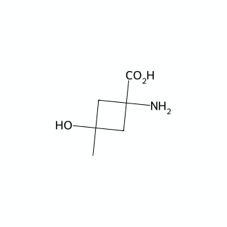 CC1(O)CC(N)(C(=O)O)C1